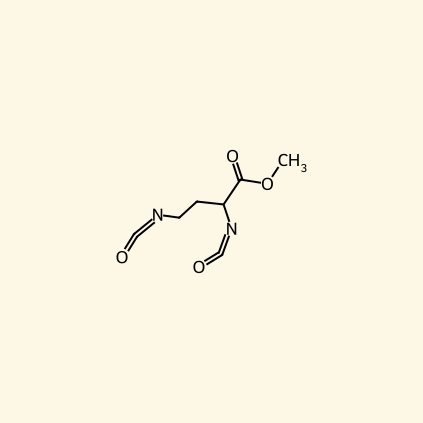 COC(=O)C(CCN=C=O)N=C=O